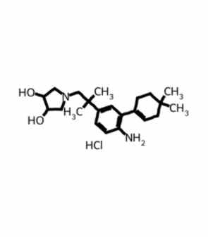 CC1(C)CC=C(c2cc(C(C)(C)CN3CC(O)C(O)C3)ccc2N)CC1.Cl